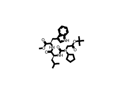 COC(=O)[C@@H](Cc1c[nH]c2ccccc12)NC(=O)[C@H](CC(C)C)NC(=O)N(CC(=O)OC(C)(C)C)C1CCCC1